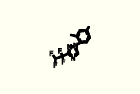 Cc1ccc(-n2cnc(C(F)(F)C(F)F)n2)c(C)c1